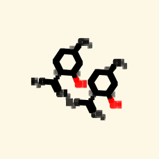 C=C(C)[C@@H]1CC[C@@H](C)C[C@H]1O.C=C(C)[C@@H]1CC[C@@H](C)C[C@H]1O